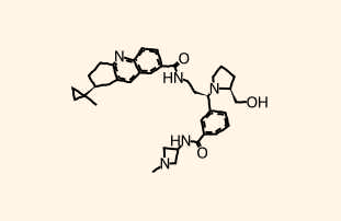 CN1CC(NC(=O)c2cccc([C@@H](CCNC(=O)c3ccc4nc5c(cc4c3)C[C@@H](C3(C)CC3)CC5)N3CCC[C@H]3CO)c2)C1